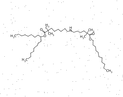 CCCCCCCCCCCOC(=O)C(C)(C)CCCCNCCCCCCC(C)(C)C(=O)OC(CCCCCCCC)CCCCCCCC